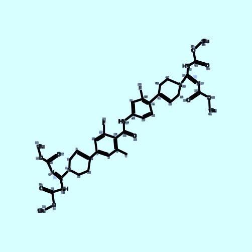 Cc1cc(C2=CCN(/C(=N\C(=O)OC(C)(C)C)NC(=O)OC(C)(C)C)CC2)cc(F)c1C(=O)Nc1ccc(C2=CCN(/C(=N\C(=O)OC(C)(C)C)NC(=O)OC(C)(C)C)CC2)c(F)c1